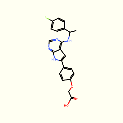 CC(Nc1ncnc2[nH]c(-c3ccc(OCC(=O)O)cc3)cc12)c1ccc(F)cc1